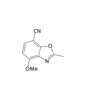 COc1ccc(C#N)c2oc(C)nc12